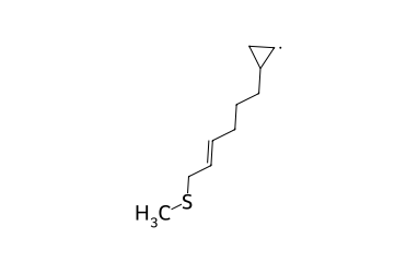 CSCC=CCCCC1[CH]C1